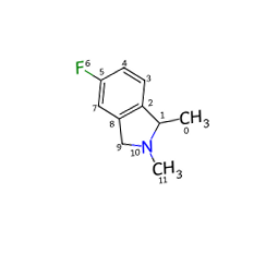 CC1c2ccc(F)cc2CN1C